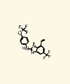 C=Cc1cc(C(F)(F)F)cc2nc(Nc3ccc(OC(F)(F)F)cc3)n(C)c12